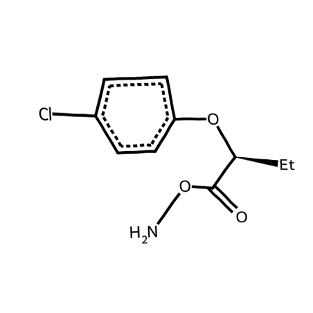 CC[C@H](Oc1ccc(Cl)cc1)C(=O)ON